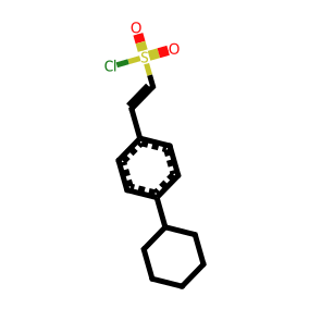 O=S(=O)(Cl)C=Cc1ccc(C2CCCCC2)cc1